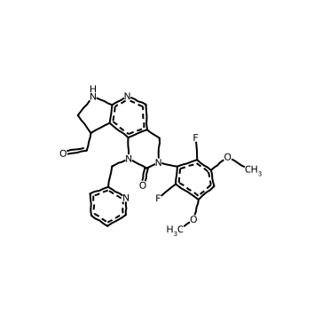 COc1cc(OC)c(F)c(N2Cc3cnc4c(c3N(Cc3ccccn3)C2=O)C(C=O)CN4)c1F